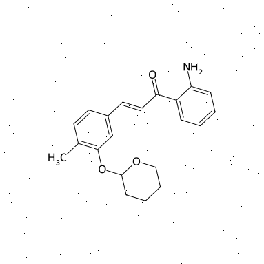 Cc1ccc(/C=C/C(=O)c2ccccc2N)cc1OC1CCCCO1